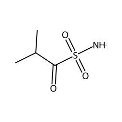 CC(C)C(=O)S([NH])(=O)=O